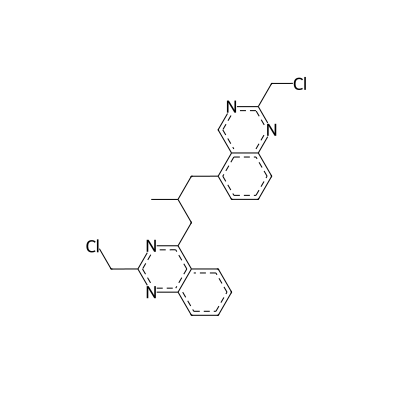 CC(Cc1cccc2nc(CCl)ncc12)Cc1nc(CCl)nc2ccccc12